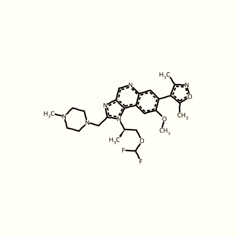 COc1cc2c(cc1-c1c(C)noc1C)ncc1nc(CN3CCN(C)CC3)n([C@H](C)COC(F)F)c12